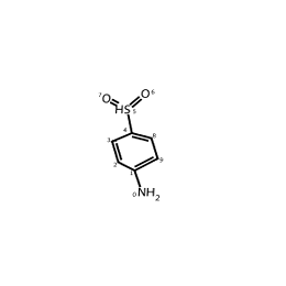 Nc1c[c]c([SH](=O)=O)cc1